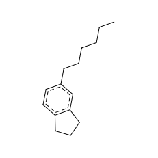 CCCCCCc1ccc2c(c1)CCC2